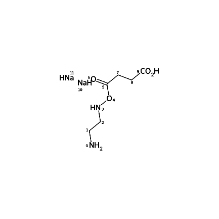 NCCNOC(=O)CCC(=O)O.[NaH].[NaH]